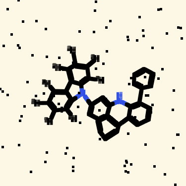 [2H]c1c([2H])c([2H])c2c(c1[2H])c1c([2H])c([2H])c([2H])c([2H])c1n2-c1cccc(Nc2c(-c3ccccc3)cccc2-c2ccccc2)c1